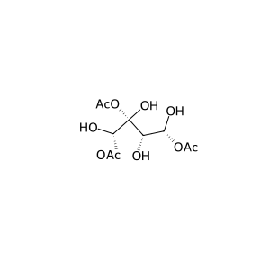 CC(=O)O[C@@H](O)[C@H](O)[C@@](O)(OC(C)=O)[C@@H](O)OC(C)=O